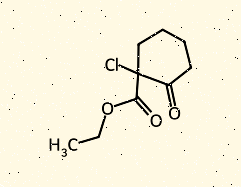 CCOC(=O)C1(Cl)CCCCC1=O